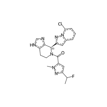 CC(F)c1cc(C(=O)N2CCc3[nH]cnc3[C@H]2c2cc3cccc(Cl)n3n2)n(C)n1